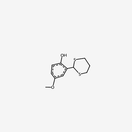 COc1ccc(O)c(C2SCCCS2)c1